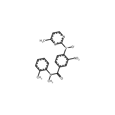 Cc1ccnc([S+]([O-])c2ccc(C(=O)N(C)c3ccccc3C)cc2[N+](=O)[O-])n1